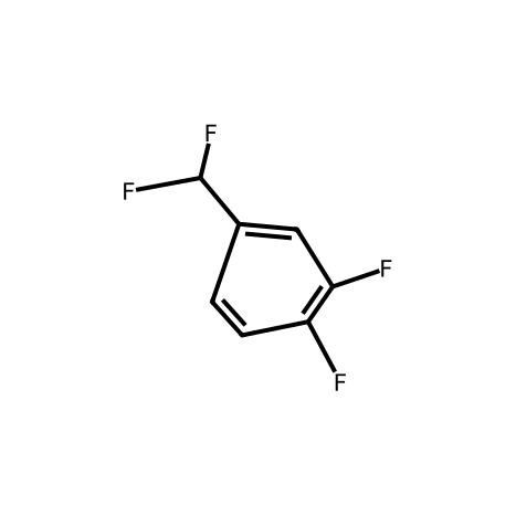 Fc1ccc(C(F)F)cc1F